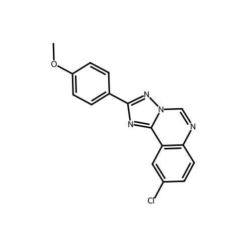 COc1ccc(-c2nc3c4cc(Cl)ccc4ncn3n2)cc1